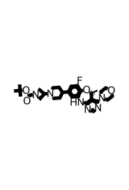 C[C@@H]1Oc2c(F)cc(C3CCN(C4CN(C(=O)OC(C)(C)C)C4)CC3)cc2Nc2ncnc(N3CCOCC3)c21